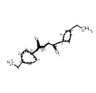 CCc1ccc(C(=O)CCC(=O)c2ccc(CC)cc2)cc1